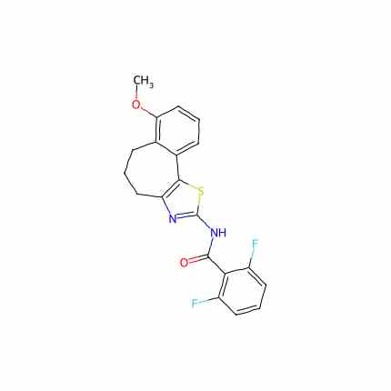 COc1cccc2c1CCCc1nc(NC(=O)c3c(F)cccc3F)sc1-2